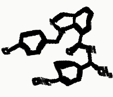 C[C@H](NC(=O)c1cccc2cnn(Cc3ccc(Cl)cc3)c12)c1ccc(C=O)cc1